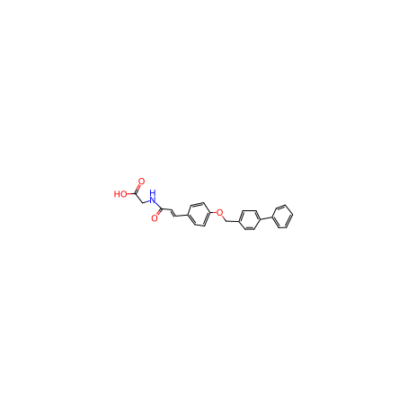 O=C(O)CNC(=O)C=Cc1ccc(OCc2ccc(-c3ccccc3)cc2)cc1